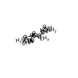 CC(C)OC(=O)CNP(=O)(OCCSC(=O)C(C)(C)CO)OC[C@@H]1C[C@H](C)[C@H](Cn2cnc3c(=O)[nH]c(N)nc32)O1